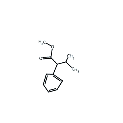 COC(=O)C(c1ccccc1)C(C)C